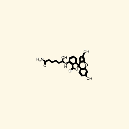 NC(=O)CCCCC(O)Nc1cccc2c1C(=O)OC21c2ccc(O)cc2Oc2cc(O)ccc21